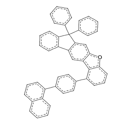 c1ccc(C2(c3ccccc3)c3ccccc3-c3cc4c(cc32)oc2cccc(-c3ccc(-c5cccc6ccccc56)cc3)c24)cc1